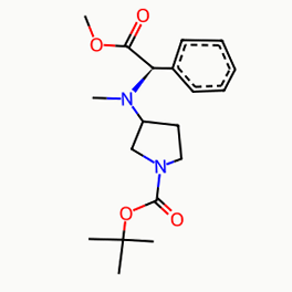 COC(=O)[C@@H](c1ccccc1)N(C)C1CCN(C(=O)OC(C)(C)C)C1